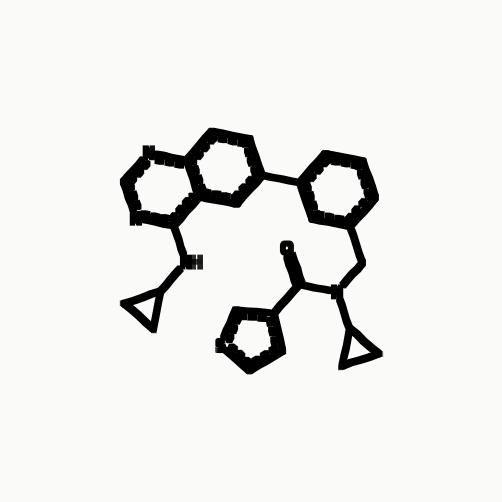 O=C(c1ccsc1)N(Cc1cccc(-c2ccc3ncnc(NC4CC4)c3c2)c1)C1CC1